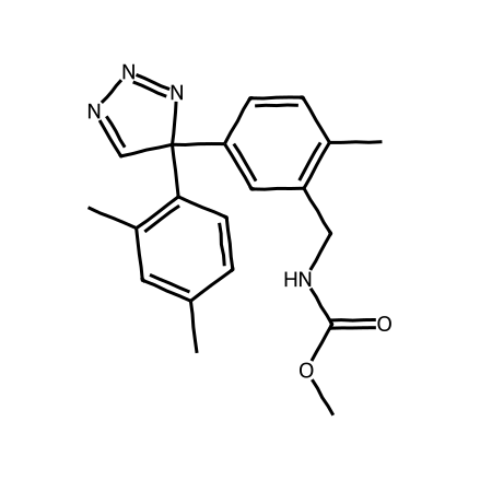 COC(=O)NCc1cc(C2(c3ccc(C)cc3C)C=NN=N2)ccc1C